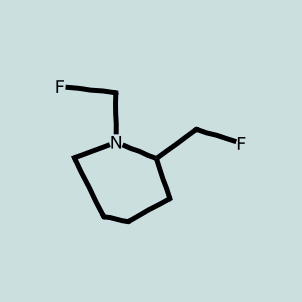 FCC1CCCCN1CF